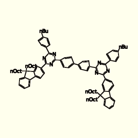 CCCCCCCCC1(CCCCCCCC)c2ccccc2-c2ccc(-c3nc(-c4ccc(CCCC)cc4)nc(-c4ccc(-c5ccc(-c6nc(-c7ccc(CCCC)cc7)nc(-c7ccc8c(c7)C(CCCCCCCC)(CCCCCCCC)c7ccccc7-8)n6)cc5)cc4)n3)cc21